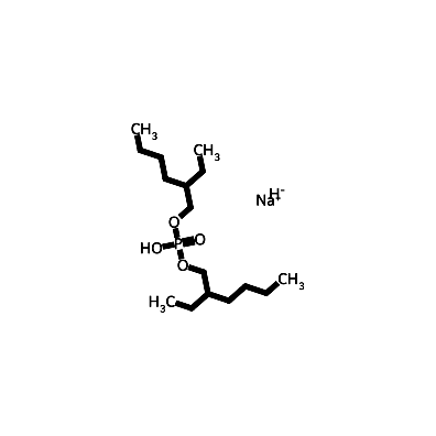 CCCCC(CC)COP(=O)(O)OCC(CC)CCCC.[H-].[Na+]